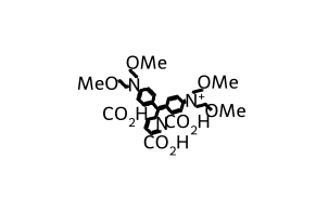 COCCN(CCOC)c1ccc(/C(=C2\C=CC(=[N+](CCOC)CCOC)C=C2C(=O)O)c2ccc(C(=O)O)cn2)c(C(=O)O)c1